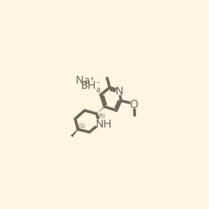 COc1cc([C@H]2CC[C@H](C)CN2)cc(C)n1.[BH4-].[Na+]